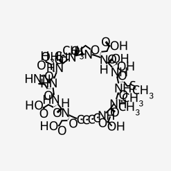 CSCC[C@@H]1NC(=O)[C@H](C(C)C)NC(=O)[C@H](CC(=O)O)NCCCCC(=O)[C@H](CCC(=O)O)NC(=O)[C@H](CCC(=O)O)NC(=O)[C@H](Cc2c[nH]cn2)NC(=O)[C@H](CCC(=O)O)NC(=O)[C@H](C(C)C)NC(=O)[C@@H]2CCCN2C(=O)[C@H](CCC(=O)O)NC(=O)[C@H](C(O)O)NC1=O